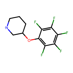 Fc1c(F)c(F)c(OC2CCC[N]C2)c(F)c1F